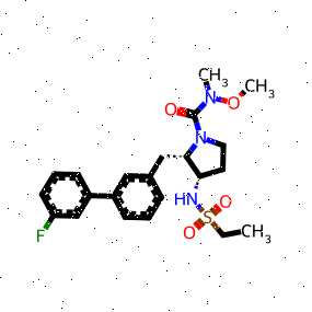 CCS(=O)(=O)N[C@H]1CCN(C(=O)N(C)OC)[C@H]1Cc1cccc(-c2cccc(F)c2)c1